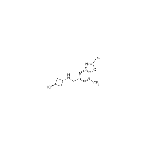 CC(C)c1nc2cc(CN[C@H]3C[C@H](O)C3)cc(C(F)(F)F)c2o1